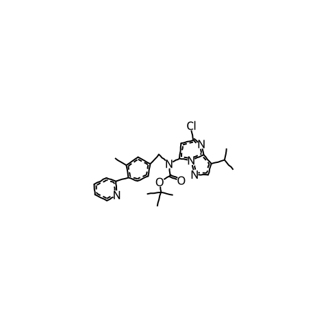 Cc1cc(CN(C(=O)OC(C)(C)C)c2cc(Cl)nc3c(C(C)C)cnn23)ccc1-c1ccccn1